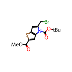 COC(=O)c1cc2c(cc(CBr)n2C(=O)OC(C)(C)C)s1